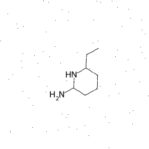 CCC1CCCC(N)N1